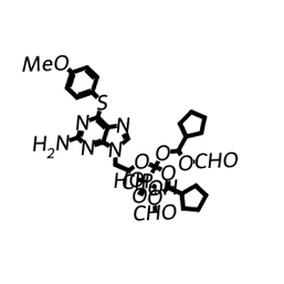 COc1ccc(Sc2nc(N)nc3c2ncn3CC(C)OC(OC(OC=O)C2CCCC2)(OC(OC=O)C2CCCC2)P(=O)(O)O)cc1